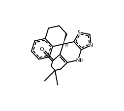 CC1(C)CC(=O)C2=C(C1)Nc1ncsc1[C@]21CCCc2ccccc21